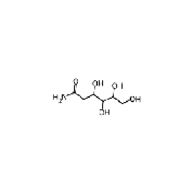 NC(=O)CC(O)C(O)C(O)CO